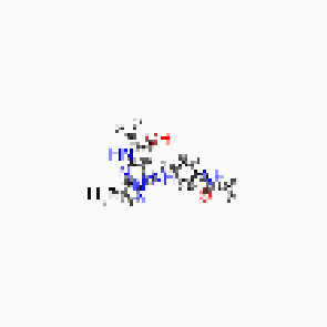 Bc1cnn2c(NCc3ccc(NC(=O)C4CC4)cc3)cc(N[C@H](CO)C(C)C)nc12